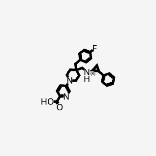 O=C(O)c1ccc(N2CCC(CN[C@@H]3CC3c3ccccc3)(Cc3ccc(F)cc3)CC2)cn1